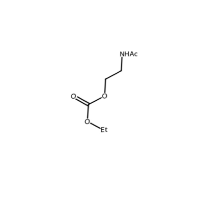 CCOC(=O)OCCNC(C)=O